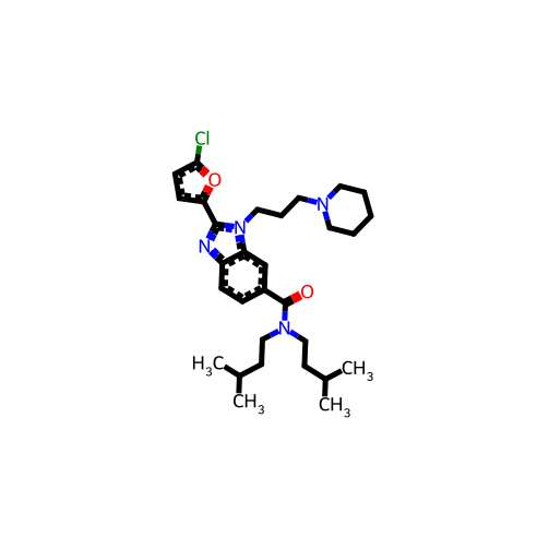 CC(C)CCN(CCC(C)C)C(=O)c1ccc2nc(-c3ccc(Cl)o3)n(CCCN3CCCCC3)c2c1